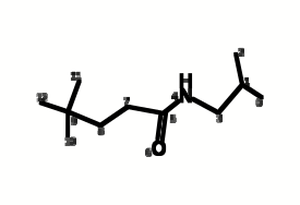 CC(C)CNC(=O)CCC(C)(C)C